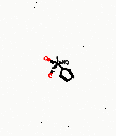 [CH3][W](=[C]=O)(=[C]=O)([N]=O)[CH]1C=CC=C1